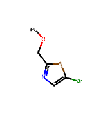 CC(C)OCc1ncc(Br)s1